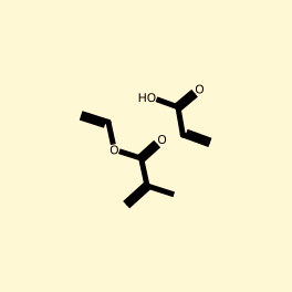 C=CC(=O)O.C=COC(=O)C(=C)C